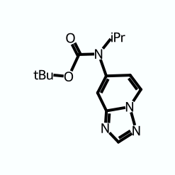 CC(C)N(C(=O)OC(C)(C)C)c1ccn2ncnc2c1